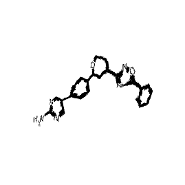 Nc1ncc(-c2ccc(C3CC(c4noc(-c5ccccc5)n4)CCO3)cc2)cn1